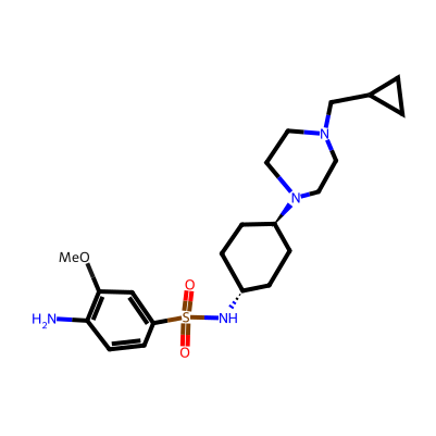 COc1cc(S(=O)(=O)N[C@H]2CC[C@H](N3CCN(CC4CC4)CC3)CC2)ccc1N